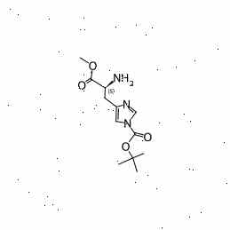 COC(=O)[C@@H](N)Cc1cn(C(=O)OC(C)(C)C)cn1